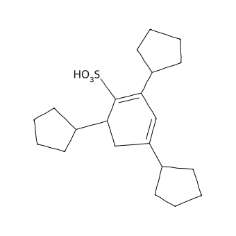 O=S(=O)(O)C1=C(C2CCCC2)C=C(C2CCCC2)CC1C1CCCC1